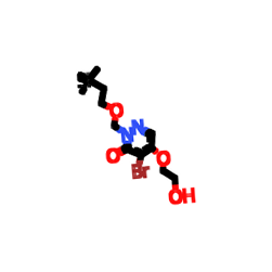 C[Si](C)(C)CCOCn1ncc(OCCO)c(Br)c1=O